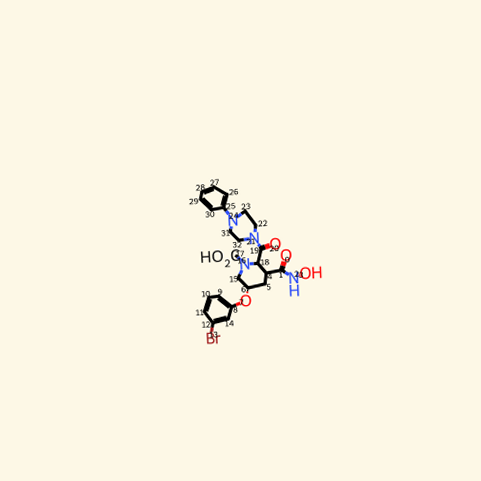 O=C(NO)C1C[C@H](Oc2cccc(Br)c2)CN(C(=O)O)C1C(=O)N1CCN(c2ccccc2)CC1